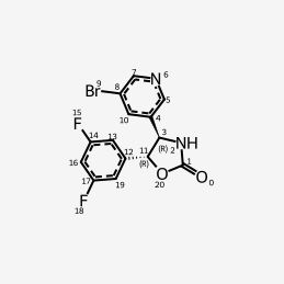 O=C1N[C@H](c2cncc(Br)c2)[C@@H](c2cc(F)cc(F)c2)O1